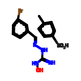 Cc1ccc(S(=O)(=O)O)cc1.N=C(NO)NN=Cc1cccc(Br)c1